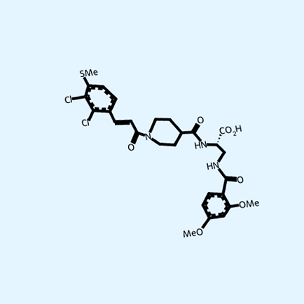 COc1ccc(C(=O)NC[C@H](NC(=O)C2CCN(C(=O)C=Cc3ccc(SC)c(Cl)c3Cl)CC2)C(=O)O)c(OC)c1